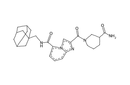 NC(=O)C1CCCN(C(=O)c2cn3c(C(=O)NCC45CC6CC(CC(C6)C4)C5)cccc3n2)C1